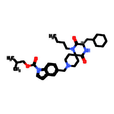 CCCCN1C(=O)[C@H](CC2CCCCC2)NC(=O)C12CCN(Cc1ccc3c(ccn3C(=O)OCC(C)C)c1)CC2